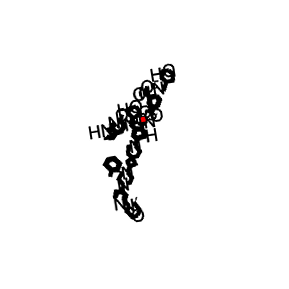 Cc1ccccc1[C@@H]1CN(c2ccnc(N3CCOC[C@H]3C)c2)CCN1C1CC2(CCN(c3ccc(C(=O)NS(=O)(=O)c4ccc(NCC5CCOCC5)c([N+](=O)[O-])c4)c(N4c5cc6cc[nH]c6nc5O[C@H]5COCC[C@@H]54)c3)CC2)C1